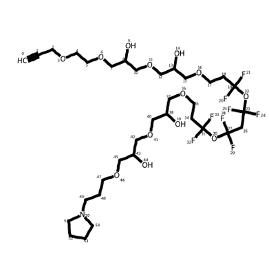 C#CCOCCOCC(O)COCC(O)COCCC(F)(F)OC(F)(F)CC(F)(F)OC(F)(F)CCOCC(O)COCC(O)COCCCN1CCCC1